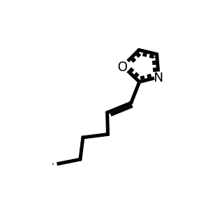 [CH2]CCCC=Cc1ncco1